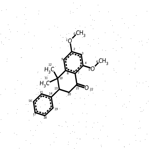 COc1cc(OC)c2c(c1)C(C)(C)C(c1ccccc1)CC2=O